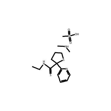 CCNC(=S)C1(c2ccccn2)CCCS1.CNC.CS(=O)(=O)O